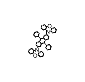 c1ccc(-c2c3ccc(N4c5ccccc5Oc5ccccc54)cc3c(-c3ccccc3)c3ccc(N4c5ccccc5Oc5ccccc54)cc23)cc1